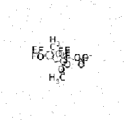 CCOC(=O)C1=Cc2cc(OC(F)(F)F)cc(C)c2OC1(SCCO[N+](=O)[O-])C(F)(F)F